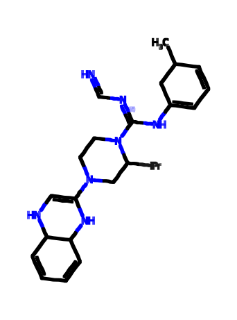 CC1C=CC=C(N/C(=N/C=N)N2CCN(C3=CNC4C=CC=CC4N3)CC2C(C)C)C1